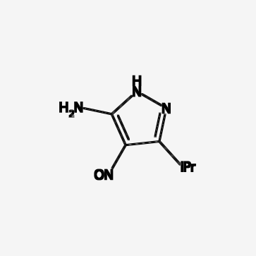 CC(C)c1n[nH]c(N)c1N=O